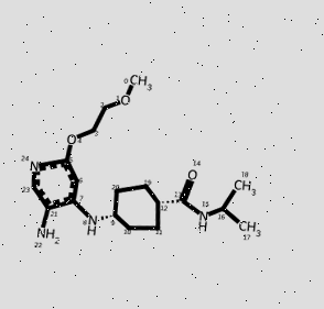 COCCOc1cc(N[C@H]2CC[C@@H](C(=O)NC(C)C)CC2)c(N)cn1